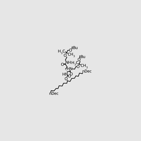 CCCCCCCCCCCCCCCCCCC(CCCCCCCCCCCCCCCCC)OC(=O)N[C@H](CCC(=O)NCCOC(C)(C)COC(C)(C)C)C(=O)NCCOC(C)(C)COC(C)(C)C